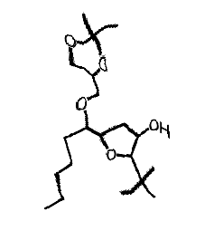 CCCCCC(OCC1COC(C)(C)O1)C1CC(O)C(C(C)(C)C)O1